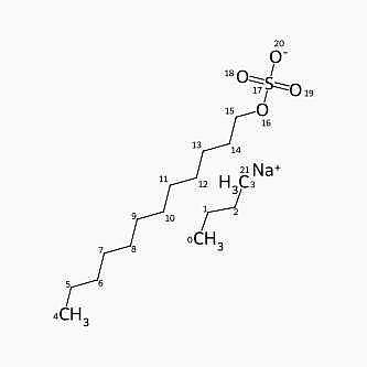 CCCC.CCCCCCCCCCCCOS(=O)(=O)[O-].[Na+]